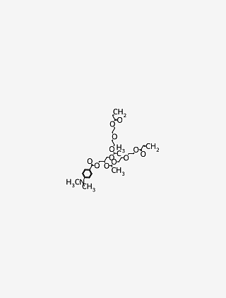 C=CC(=O)OCCOCCOC(C)OCC(COC(=O)c1ccc(N(C)C)cc1)OC(C)OCCOCCOC(=O)C=C